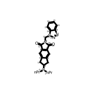 CCCN(CCC)C1Cc2cc3c(cc2C1)C(=O)N(Cn1nnc2ccccc21)C3=O